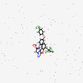 CC(=O)C1(c2cccc(C(F)(F)F)c2)NCC(=O)N1c1ccc(Oc2ccc(Cl)cc2)cc1